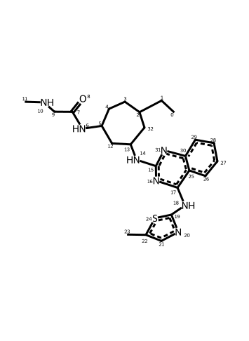 CCC1CCC(NC(=O)CNC)CC(Nc2nc(Nc3ncc(C)s3)c3ccccc3n2)C1